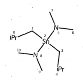 CC(C)[CH2][Sn]([CH2]C(C)C)([N](C)C)[N](C)C